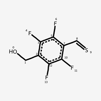 OCc1c(F)c(F)c(C=S)c(F)c1F